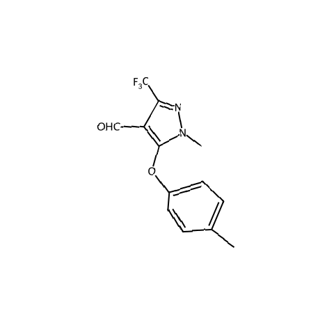 Cc1ccc(Oc2c(C=O)c(C(F)(F)F)nn2C)cc1